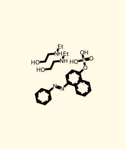 CCNCCO.CCNCCO.O=P(O)(O)Oc1ccc(N=Nc2ccccc2)c2ccccc12